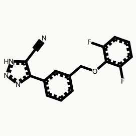 N#Cc1[nH]nnc1-c1cccc(COc2c(F)cccc2F)c1